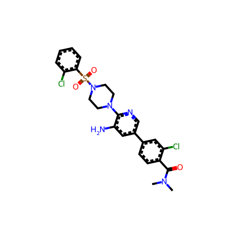 CN(C)C(=O)c1ccc(-c2cnc(N3CCN(S(=O)(=O)c4ccccc4Cl)CC3)c(N)c2)cc1Cl